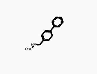 O=CNCC1=CC=C(c2ccccc2)CC1